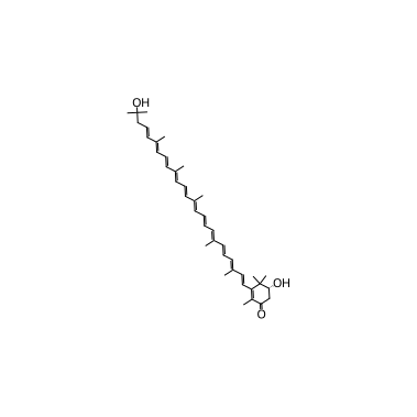 CC1=C(/C=C/C(C)=C/C=C/C(C)=C/C=C/C=C(C)/C=C/C=C(C)/C=C/C=C(C)/C=C/CC(C)(C)O)C(C)(C)[C@H](O)CC1=O